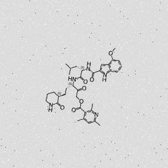 COc1cccc2[nH]c(C(=O)N[C@@H](CC(C)C)C(=O)N[C@@H](CC[C@@H]3CCCNC3=O)C(=O)COC(=O)c3c(C)cc(C)nc3C)cc12